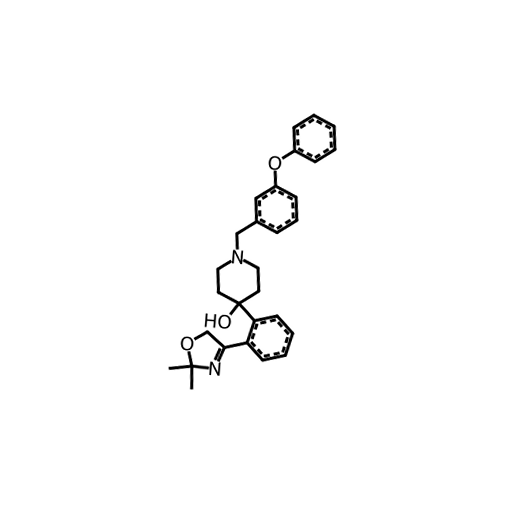 CC1(C)N=C(c2ccccc2C2(O)CCN(Cc3cccc(Oc4ccccc4)c3)CC2)CO1